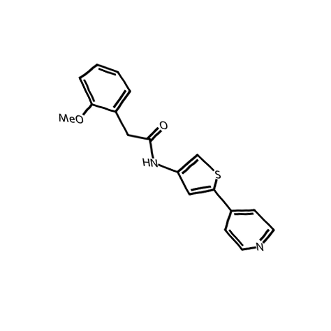 COc1ccccc1CC(=O)Nc1csc(-c2ccncc2)c1